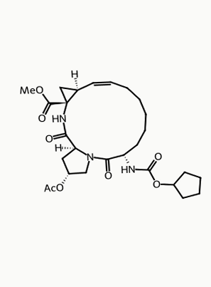 COC(=O)[C@@]12C[C@H]1/C=C\CCCCC[C@H](NC(=O)OC1CCCC1)C(=O)N1C[C@H](OC(C)=O)C[C@H]1C(=O)N2